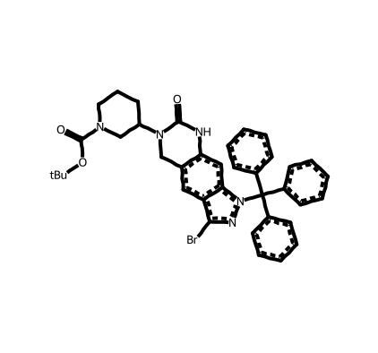 CC(C)(C)OC(=O)N1CCCC(N2Cc3cc4c(Br)nn(C(c5ccccc5)(c5ccccc5)c5ccccc5)c4cc3NC2=O)C1